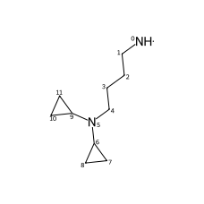 [NH]CCCCN(C1CC1)C1CC1